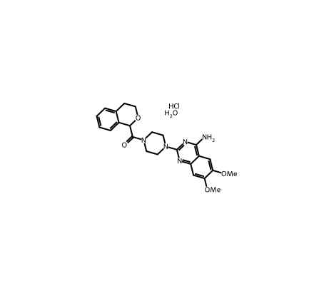 COc1cc2nc(N3CCN(C(=O)C4OCCc5ccccc54)CC3)nc(N)c2cc1OC.Cl.O